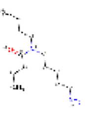 CCCCN(CCCCCN)C(=O)CCC